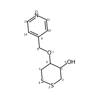 OC1CSSCC1OCc1ccncc1